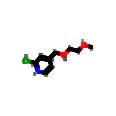 COCCOCc1ccnc(Cl)c1